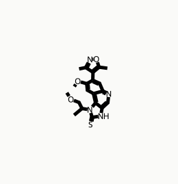 COCC(C)n1c(=S)[nH]c2cnc3cc(-c4c(C)noc4C)c(OC)cc3c21